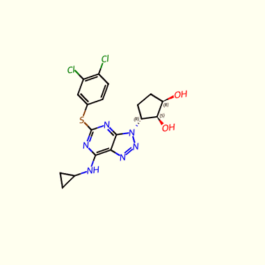 O[C@@H]1[C@H](O)CC[C@H]1n1nnc2c(NC3CC3)nc(Sc3ccc(Cl)c(Cl)c3)nc21